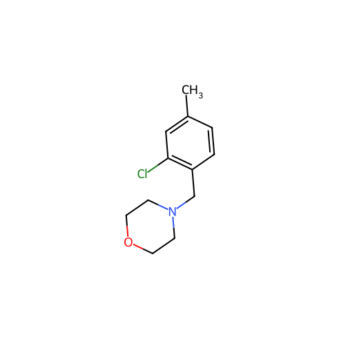 Cc1ccc(CN2CCOCC2)c(Cl)c1